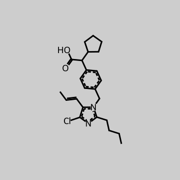 CC=Cc1c(Cl)nc(CCCC)n1Cc1ccc(C(C(=O)O)C2CCCC2)cc1